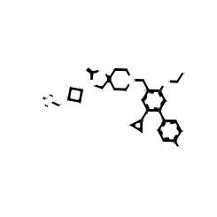 CCOc1cc(-c2ccc(F)cc2)c(C2CC2)cc1CN1CCC2(CC1)CN([C@H]1C[C@H](CS(=O)(=O)O)C1)C(=O)O2